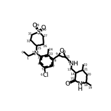 CCN(c1cc(Cl)cc(C2OC2NCC2C(=O)NC(C)CC2C)c1C)C1CCS(=O)(=O)CC1